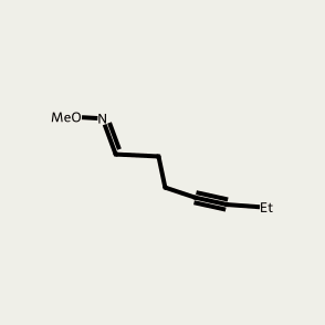 [CH2]CC#CCCC=NOC